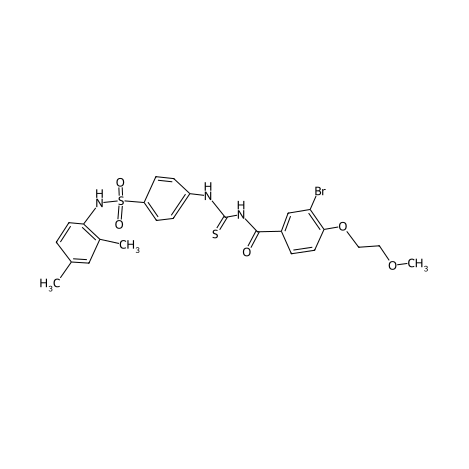 COCCOc1ccc(C(=O)NC(=S)Nc2ccc(S(=O)(=O)Nc3ccc(C)cc3C)cc2)cc1Br